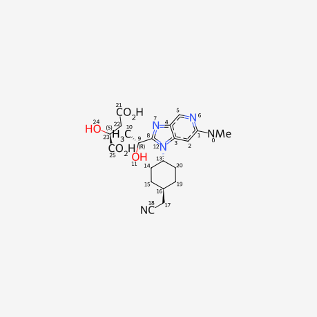 CNc1cc2c(cn1)nc([C@@H](C)O)n2[C@H]1CC[C@H](CC#N)CC1.O=C(O)C[C@H](O)C(=O)O